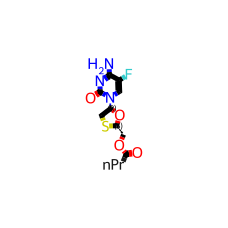 CCCC(=O)OC[C@H]1O[C@@H](n2cc(F)c(N)nc2=O)CS1